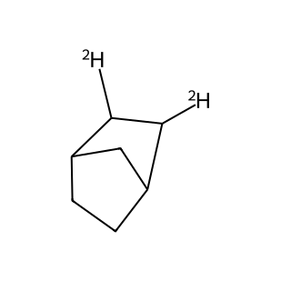 [2H]C1C2CCC(C2)C1[2H]